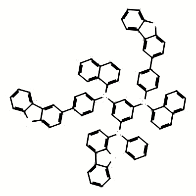 c1ccc(N(c2cc(N(c3ccc(-c4ccc5sc6ccccc6c5c4)cc3)c3cccc4ccccc34)cc(N(c3ccc(-c4ccc5sc6ccccc6c5c4)cc3)c3cccc4ccccc34)c2)c2cccc3c2oc2ccccc23)cc1